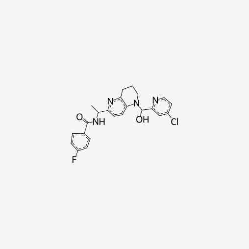 CC(NC(=O)c1ccc(F)cc1)c1ccc2c(n1)CCCN2C(O)c1cc(Cl)ccn1